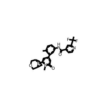 Cc1ccc(NC(=O)c2ccnc(C(C)(F)F)c2)cc1-c1cc(N2C3CCC2COC3)n(C)c(=O)c1